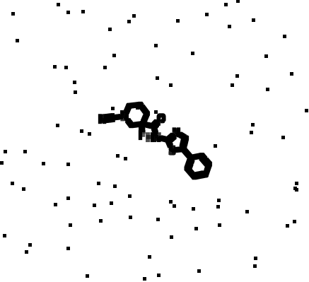 N#CN1CCCC(F)(C(=O)Nc2ncc(-c3ccccc3)s2)C1